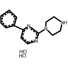 Cl.Cl.c1ccc(-c2ccnc(N3CCNCC3)n2)cc1